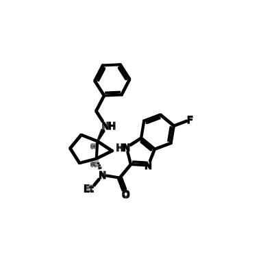 CCN(C(=O)c1nc2cc(F)ccc2[nH]1)[C@]12CCC[C@]1(NCc1ccccc1)C2